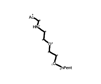 CCCCCOCCOCCNCC(C)=O